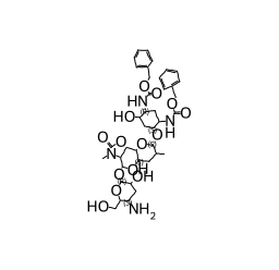 CC1C[C@@H]2OC(O[C@H]3OC(CO)[C@@H](N)CC3O)C3C(OC(=O)N3C)C2O[C@@H]1O[C@H]1CC(O)[C@H](NC(=O)OCc2ccccc2)CC1NC(=O)OCc1ccccc1